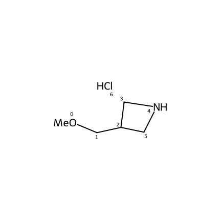 COCC1CNC1.Cl